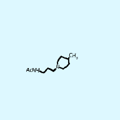 CC(=O)NCCCN1CCC(C)CC1